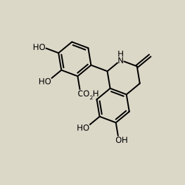 C=C1Cc2cc(O)c(O)cc2C(c2ccc(O)c(O)c2C(=O)O)N1